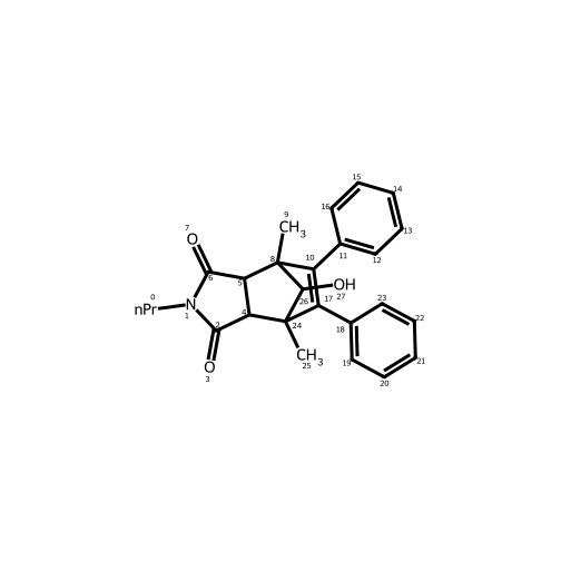 CCCN1C(=O)C2C(C1=O)C1(C)C(c3ccccc3)=C(c3ccccc3)C2(C)C1O